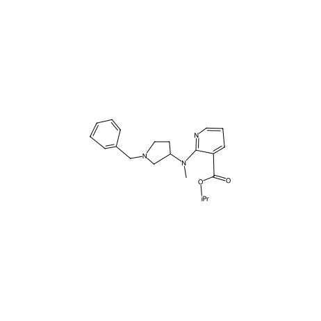 CC(C)OC(=O)c1cccnc1N(C)C1CCN(Cc2ccccc2)C1